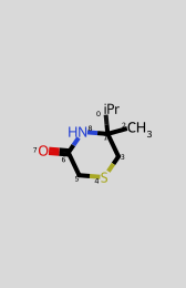 CC(C)C1(C)CSCC(=O)N1